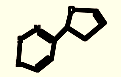 C1=COC(C2=NSSC=C2)C1